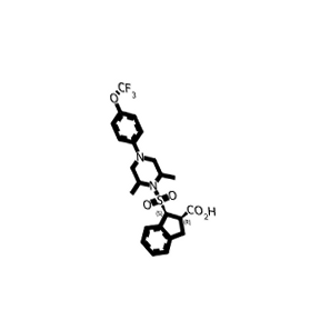 CC1CN(c2ccc(OC(F)(F)F)cc2)CC(C)N1S(=O)(=O)[C@@H]1c2ccccc2C[C@@H]1C(=O)O